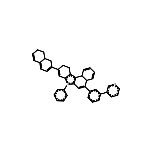 C1=CC2C(c3cccc(-c4cccnc4)c3)=Cc3c(c4c(n3-c3ccccc3)C=C(C3=CC=C5C=CCCC5C3)CC4)C2C=C1